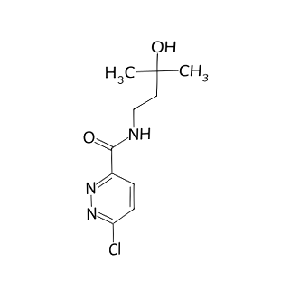 CC(C)(O)CCNC(=O)c1ccc(Cl)nn1